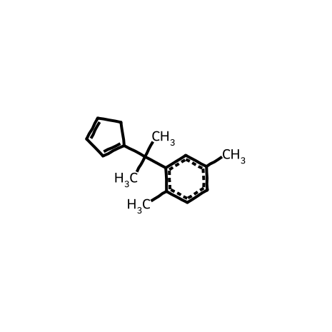 Cc1ccc(C)c(C(C)(C)C2=CC=CC2)c1